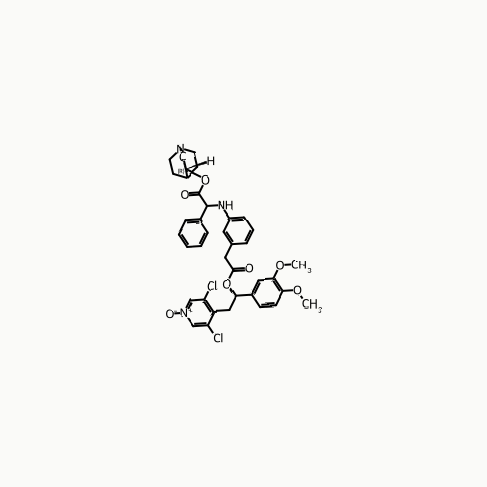 COc1ccc(C(Cc2c(Cl)c[n+]([O-])cc2Cl)OC(=O)Cc2cccc(NC(C(=O)O[C@H]3CN4CCC3CC4)c3ccccc3)c2)cc1OC